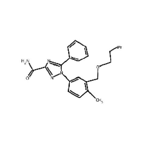 Cc1ccc(-n2nc(C(N)=O)nc2-c2ccccc2)cc1COCCC(C)C